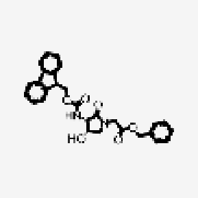 O=C(CN1C[C@H](O)[C@H](NC(=O)OCC2c3ccccc3-c3ccccc32)C1=O)OCc1ccccc1